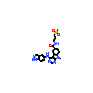 Cn1c2c(c3c(Nc4ccc5[nH]ncc5c4)ncnc31)C[C@@H](C(=O)NCCCS(C)(=O)=O)CC2